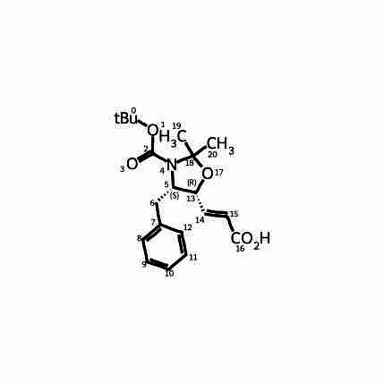 CC(C)(C)OC(=O)N1[C@@H](Cc2ccccc2)[C@@H](C=CC(=O)O)OC1(C)C